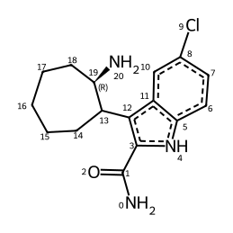 NC(=O)c1[nH]c2ccc(Cl)cc2c1C1CCCCC[C@H]1N